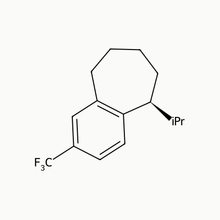 CC(C)[C@@H]1CCCCc2cc(C(F)(F)F)ccc21